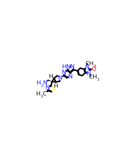 Cc1csc([C@]2(CN)[C@@H]3CN(c4cnc5c(C6=CCc7c(n(C)c(=O)n7C)C6)n[nH]c5n4)C[C@@H]32)n1